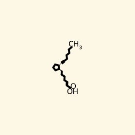 CCCCCCC#C[C@H]1CCC[C@@H]1CCCCC=CC(=O)O